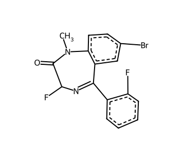 CN1C(=O)C(F)N=C(c2ccccc2F)c2cc(Br)ccc21